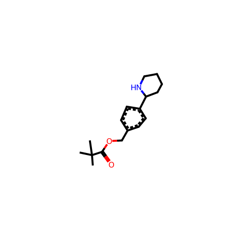 CC(C)(C)C(=O)OCc1ccc(C2CCCCN2)cc1